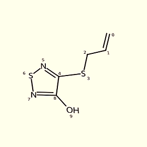 C=CCSc1nsnc1O